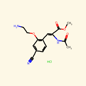 COC(=O)C(=Cc1ccc(C#N)cc1OCCN)NC(C)=O.Cl